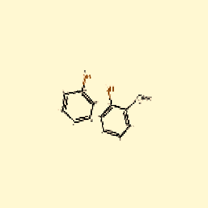 COc1ccccc1S.Sc1ccccc1